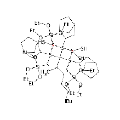 CCO[Si](OCC)(OCC)SS(SS)(C1CC2CCC1C2)C(C(C)CCCC(C)CC)(S(SS)(S[Si](OCC)(OCC)OCC)C1CC2CCC1C2)S(SS)(S[Si](OCC)(OCC)OCC)C1CC2CCC1C2